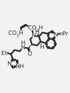 CCCn1cc2c3c(cccc31)[C@H]1C[C@@H](C(=O)NCCC(CC)c3c[nH]cn3)CN(C)[C@@H]1C2.O=C(O)/C=C\C(=O)O